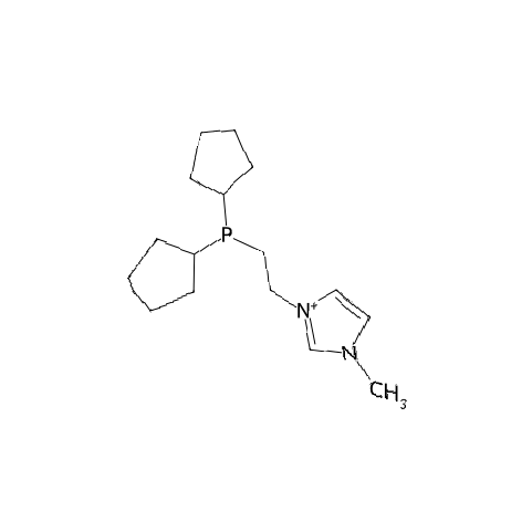 Cn1cc[n+](CCP(C2CCCC2)C2CCCC2)c1